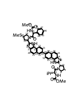 COC(=O)N[C@H](C(=O)N1CCC[C@H]1c1nc2ccc3cc(-c4ccc5c(ccc6nc(C7C[C@H](SC)CN7C(=O)[C@H](NC(=O)OC)c7ccccc7)[nH]c65)c4)ccc3c2[nH]1)C(C)C